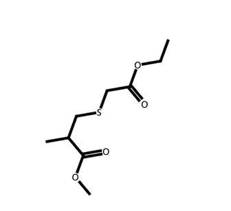 CCOC(=O)CSCC(C)C(=O)OC